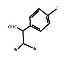 O=CC(c1ccc(F)cc1)C(Br)Br